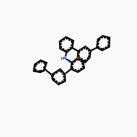 c1ccc(-c2cccc(-c3ccccc3Nc3ccccc3-c3cccc(-c4ccccc4)c3)c2)cc1